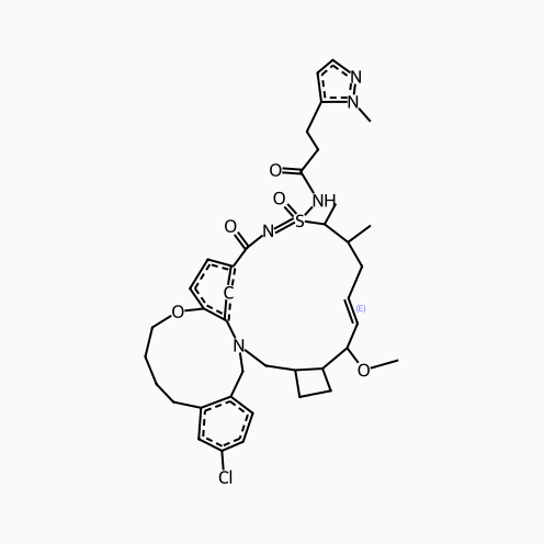 COC1/C=C/CC(C)C(C)S(=O)(NC(=O)CCc2ccnn2C)=NC(=O)c2ccc3c(c2)N(Cc2ccc(Cl)cc2CCCCO3)CC2CCC21